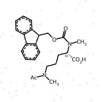 CC(=O)N(C)CCC[C@@H](C(=O)O)N(C)C(=O)OCC1c2ccccc2-c2ccccc21